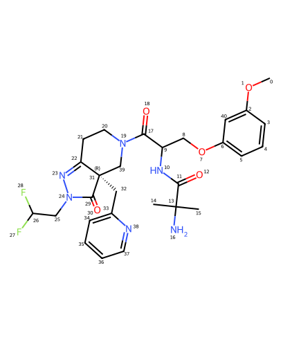 COc1cccc(OCC(NC(=O)C(C)(C)N)C(=O)N2CCC3=NN(CC(F)F)C(=O)[C@]3(Cc3ccccn3)C2)c1